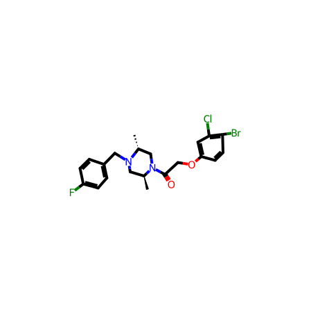 C[C@@H]1CN(C(=O)COc2ccc(Br)c(Cl)c2)[C@@H](C)CN1Cc1ccc(F)cc1